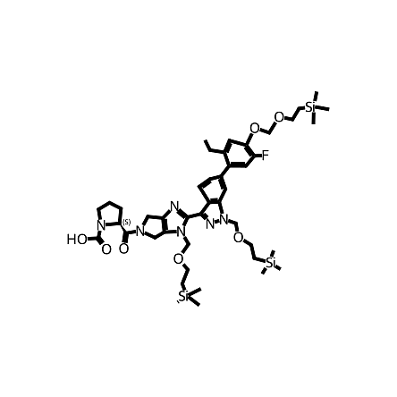 CCc1cc(OCOCC[Si](C)(C)C)c(F)cc1-c1ccc2c(-c3nc4c(n3COCC[Si](C)(C)C)CN(C(=O)[C@@H]3CCCN3C(=O)O)C4)nn(COCC[Si](C)(C)C)c2c1